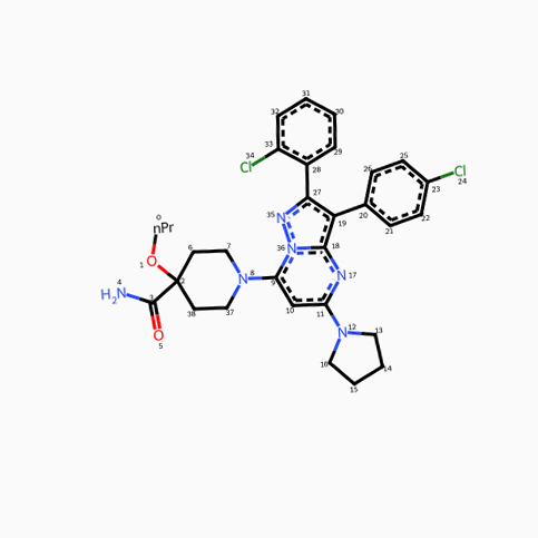 CCCOC1(C(N)=O)CCN(c2cc(N3CCCC3)nc3c(-c4ccc(Cl)cc4)c(-c4ccccc4Cl)nn23)CC1